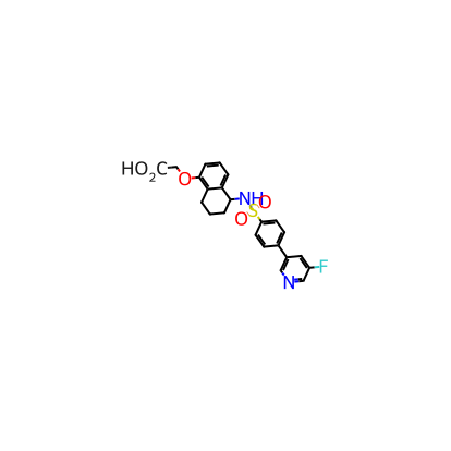 O=C(O)COc1cccc2c1CCCC2NS(=O)(=O)c1ccc(-c2cncc(F)c2)cc1